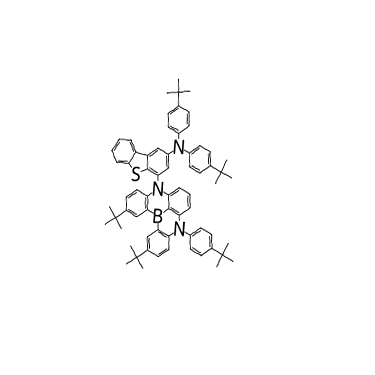 CC(C)(C)c1ccc(N(c2ccc(C(C)(C)C)cc2)c2cc(N3c4ccc(C(C)(C)C)cc4B4c5cc(C(C)(C)C)ccc5N(c5ccc(C(C)(C)C)cc5)c5cccc3c54)c3sc4ccccc4c3c2)cc1